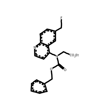 CCOC(=O)CN(C(=O)OCc1ccccc1)c1ccnc2ccc(CF)cc12